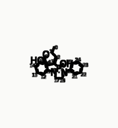 CC/C=C(\CC(=O)O)[P]1(O)N(c2ccccc2)CCN1c1ccccc1